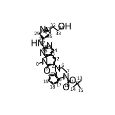 Cn1c(=O)c(N2CCN(C(=O)OC(C)(C)C)c3ccccc32)cc2cnc(Nc3cnn(CCO)c3)nc21